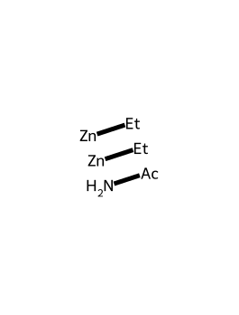 CC(N)=O.C[CH2][Zn].C[CH2][Zn]